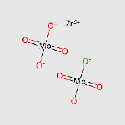 [O]=[Mo](=[O])([O-])[O-].[O]=[Mo](=[O])([O-])[O-].[Zr+4]